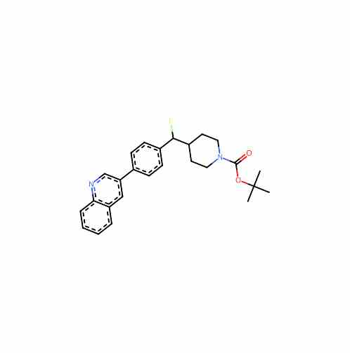 CC(C)(C)OC(=O)N1CCC(C(F)c2ccc(-c3cnc4ccccc4c3)cc2)CC1